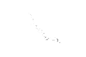 CC(C)(C)c1cnc(CSc2cnc(NC(=O)C3CCN(CC(=O)NCCCCCN)CC3)s2)o1